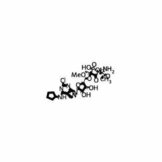 COC[C@@](OC[C@H]1O[C@@H](n2ncc3c(NC4CCCC4)nc(Cl)nc32)[C@H](O)[C@@H]1O)(C(=O)N=S(C)(N)=O)P(=O)(O)O